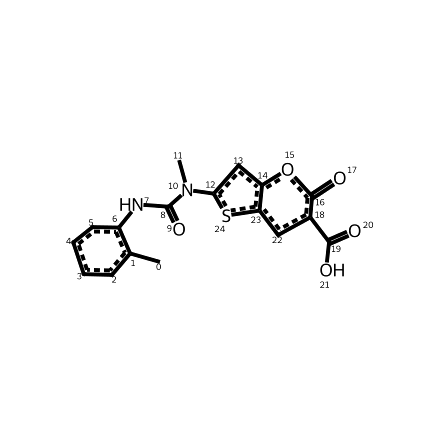 Cc1ccccc1NC(=O)N(C)c1cc2oc(=O)c(C(=O)O)cc2s1